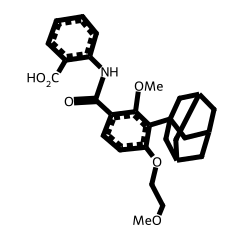 COCCOc1ccc(C(=O)Nc2ccccc2C(=O)O)c(OC)c1C12CC3CC(CC(C3)C1)C2